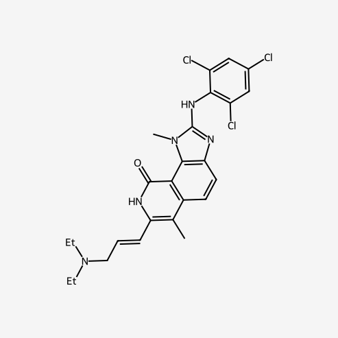 CCN(CC)CC=Cc1[nH]c(=O)c2c(ccc3nc(Nc4c(Cl)cc(Cl)cc4Cl)n(C)c32)c1C